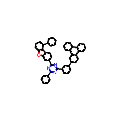 c1ccc(-c2nc(-c3cccc(-c4ccc5c6ccccc6c6ccccc6c5c4)c3)nc(-c3ccc4c(c3)oc3cccc(-c5ccccc5)c34)n2)cc1